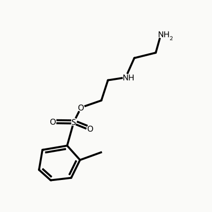 Cc1ccccc1S(=O)(=O)OCCNCCN